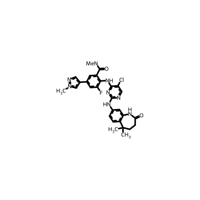 CNC(=O)c1cc(-c2cnn(C)c2)cc(F)c1Nc1nc(Nc2ccc3c(c2)NC(=O)CCC3(C)C)ncc1Cl